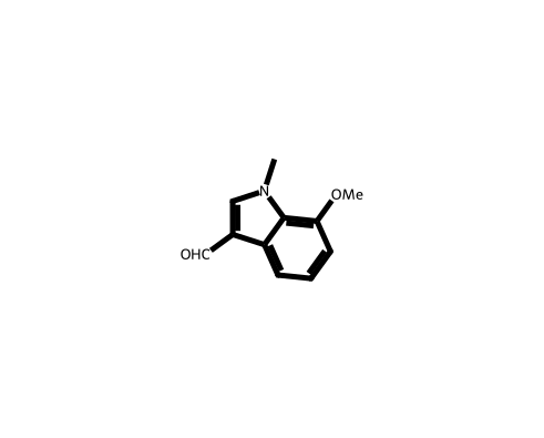 COc1cccc2c(C=O)cn(C)c12